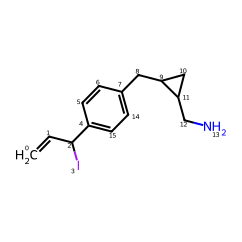 C=CC(I)c1ccc(CC2CC2CN)cc1